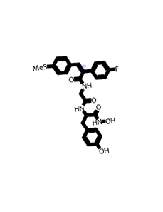 CSc1ccc(/C=C(\C(=O)NCC(=O)NC(Cc2ccc(O)cc2)C(=O)NO)c2ccc(F)cc2)cc1